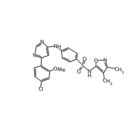 COc1cc(Cl)ccc1-c1cc(Nc2ccc(S(=O)(=O)Nc3onc(C)c3C)cc2)ncn1